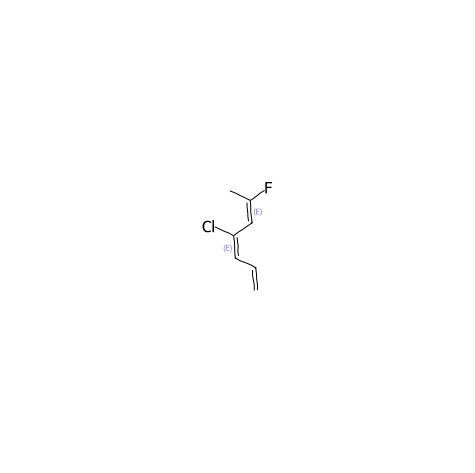 C=C/C=C(Cl)\C=C(/C)F